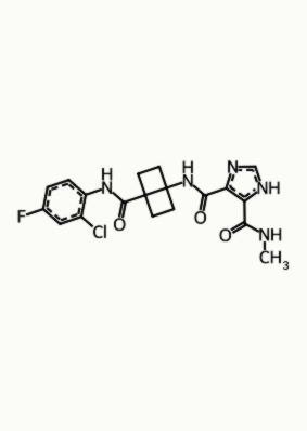 CNC(=O)c1[nH]cnc1C(=O)NC12CCC1(C(=O)Nc1ccc(F)cc1Cl)CC2